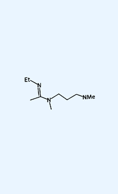 CC/N=C(\C)N(C)CCCNC